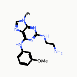 COc1cccc(Nc2nc(NCCN)nc3c2ncn3C(C)C)c1